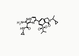 CC(C1CC1)N1Cc2cc(-c3ccn4nc(N)c(C(=O)NC5CC5)c4n3)cc(S(=O)(=O)C(C)C)c2C1=O